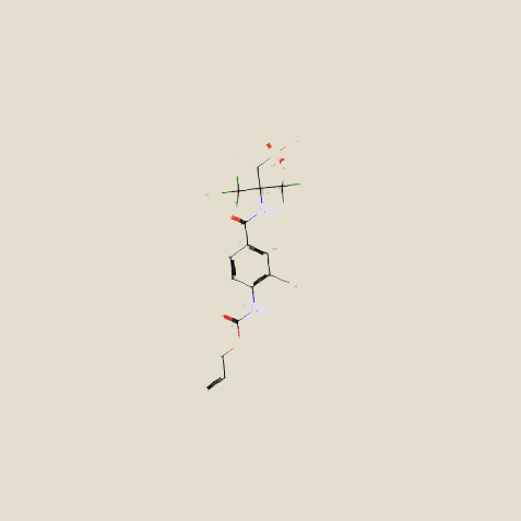 C=CCOC(=O)Nc1ccc(C(=O)NC(CS(=O)(=O)O)(C(F)(F)F)C(F)(F)F)cc1I